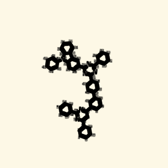 c1ccc(-c2cc(-c3cccc(-c4ccc(-c5nc(-c6ccccc6)nc(-c6ccc7c(c6)c6ccccc6n7-c6ccccc6)n5)cc4)c3)nc(-c3ccccc3)n2)cc1